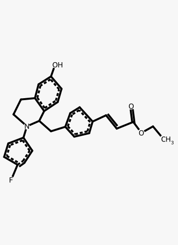 CCOC(=O)/C=C/c1ccc(CC2c3ccc(O)cc3CCN2c2ccc(F)cc2)cc1